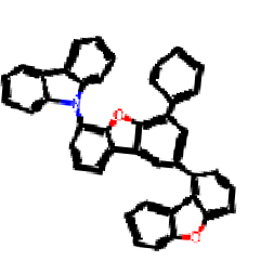 c1ccc(-c2cc(-c3cccc4oc5ccccc5c34)cc3c2oc2c(-n4c5ccccc5c5ccccc54)cccc23)cc1